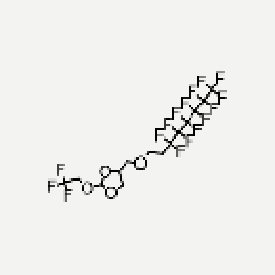 FC(F)(F)COC1OCC(COCCC(F)(F)C(F)(F)C(F)(F)C(F)(F)C(F)(F)C(F)(F)F)O1